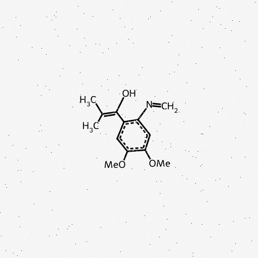 C=Nc1cc(OC)c(OC)cc1C(O)=C(C)C